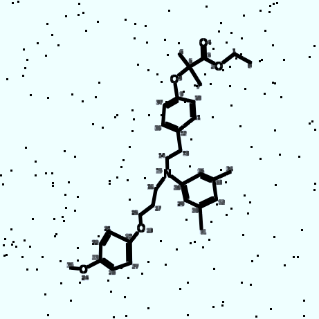 CCOC(=O)C(C)(C)Oc1ccc(CCN(CCCOc2ccc(OC)cc2)c2cc(C)cc(C)c2)cc1